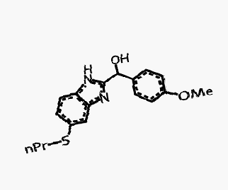 CCCSc1ccc2[nH]c(C(O)c3ccc(OC)cc3)nc2c1